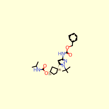 CC(C)NC(=O)O[C@H]1CC[C@@H](c2cc(NC(=O)OCc3ccccc3)nn2C(C)(C)C)C1